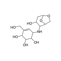 OCC1=CC(NC2C(O)CC3OCC2O3)C(O)C(O)C1O